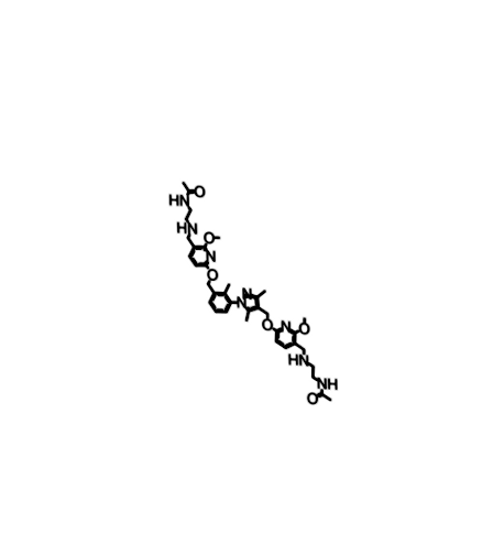 COc1nc(OCc2cccc(-n3nc(C)c(COc4ccc(CNCCNC(C)=O)c(OC)n4)c3C)c2C)ccc1CNCCNC(C)=O